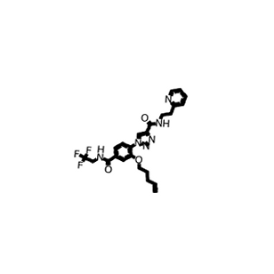 C=CCCCOc1cc(C(=O)NCC(F)(F)F)ccc1-n1cc(C(=O)NCCc2ccccn2)nn1